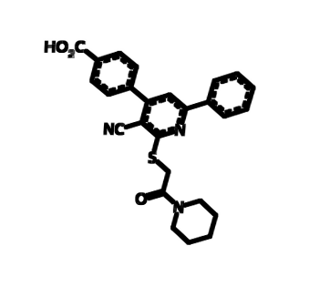 N#Cc1c(-c2ccc(C(=O)O)cc2)cc(-c2ccccc2)nc1SCC(=O)N1CCCCC1